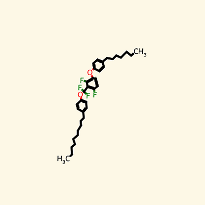 CCCCCCCCCCc1ccc(OC(F)(F)c2c(F)c[c]c(Oc3ccc(CCCCCCC)cc3)c2F)cc1